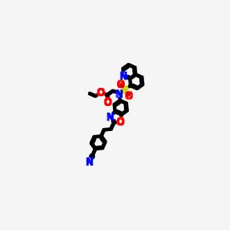 CCOC(=O)CN(c1ccc2oc(CCc3ccc(C#N)cc3)nc2c1)S(=O)(=O)c1cccc2cccnc12